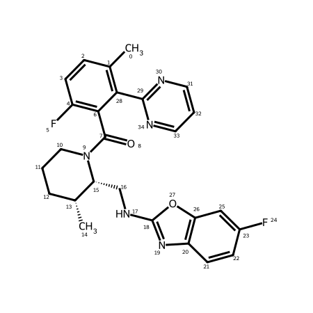 Cc1ccc(F)c(C(=O)N2CCC[C@@H](C)[C@H]2CNc2nc3ccc(F)cc3o2)c1-c1ncccn1